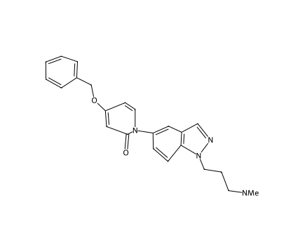 CNCCCn1ncc2cc(-n3ccc(OCc4ccccc4)cc3=O)ccc21